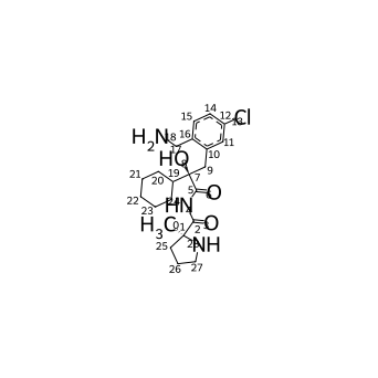 C[C@@]1(C(=O)NC(=O)[C@@](O)(Cc2cc(Cl)ccc2CN)C2CCCCC2)CCCN1